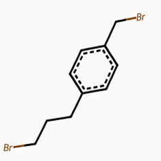 BrCCCc1ccc(CBr)cc1